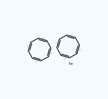 C1=C\C=C/C=C\C=C/1.C1=C\C=C/C=C\C=C/1.[Fe]